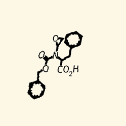 O=C(O)C(Cc1ccccc1)N(C(=O)OCc1ccccc1)C1CO1